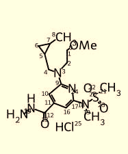 COCCN(CC1CC1C)c1cc(C(=O)NN)cc(N(C)S(C)(=O)=O)n1.Cl